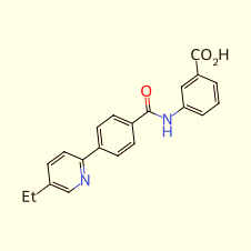 CCc1ccc(-c2ccc(C(=O)Nc3cccc(C(=O)O)c3)cc2)nc1